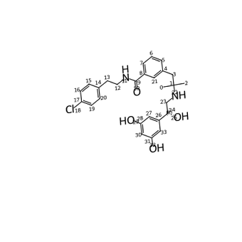 CC(C)(Cc1cccc(C(=O)NCCc2ccc(Cl)cc2)c1)NC[C@H](O)c1cc(O)cc(O)c1